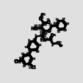 COCC(=O)N[C@@H](Cc1ccc(-c2cc(Cl)cc(Cl)c2)cc1)[C@H](OCc1ccccc1)[C@@H](O)C(=O)OC